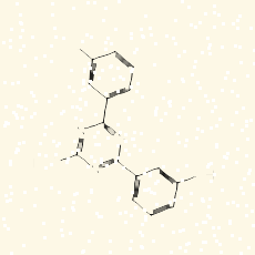 Cc1cccc(-c2nc(C)nc(-c3cccc(C)c3)n2)c1